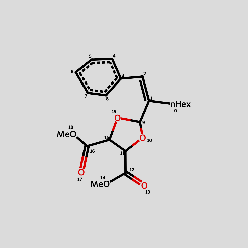 CCCCCCC(=Cc1ccccc1)C1OC(C(=O)OC)C(C(=O)OC)O1